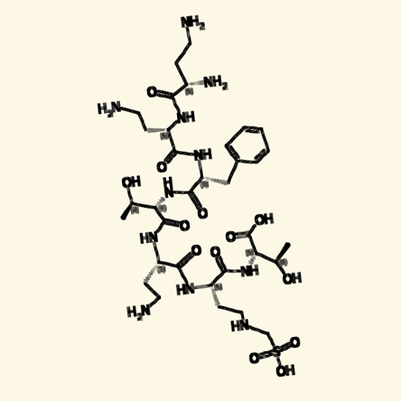 C[C@@H](O)[C@H](NC(=O)[C@H](CCNCS(=O)(=O)O)NC(=O)[C@H](CCN)NC(=O)[C@@H](NC(=O)[C@@H](Cc1ccccc1)NC(=O)[C@H](CCN)NC(=O)[C@@H](N)CCN)[C@@H](C)O)C(=O)O